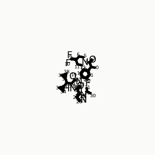 CC(C(=O)N1CCC(=C(F)F)CC1)c1ccc(NC(=O)C(NC(=O)c2ccnn2C(C)C)C(C2CC2)C2CC2)c(F)c1